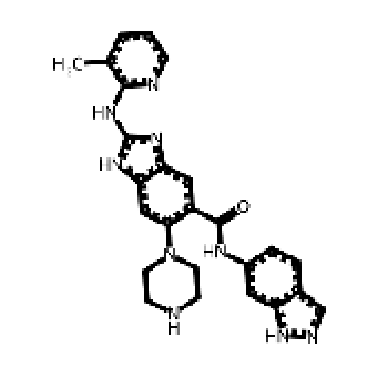 Cc1cccnc1Nc1nc2cc(C(=O)Nc3ccc4cn[nH]c4c3)c(N3CCNCC3)cc2[nH]1